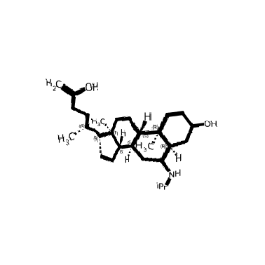 C=C(O)CC[C@@H](C)[C@H]1CC[C@H]2[C@@H]3CC(NC(C)C)[C@@H]4CC(O)CC[C@]4(C)[C@H]3CC[C@]12C